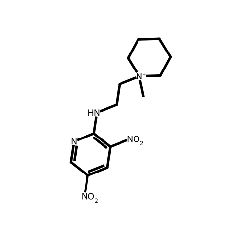 C[N+]1(CCNc2ncc([N+](=O)[O-])cc2[N+](=O)[O-])CCCCC1